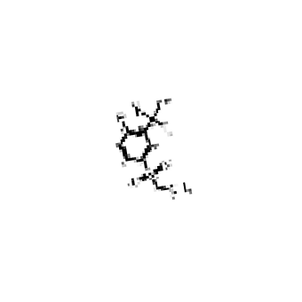 CCS(=O)(=O)c1ccc(F)c(C(F)(F)F)c1